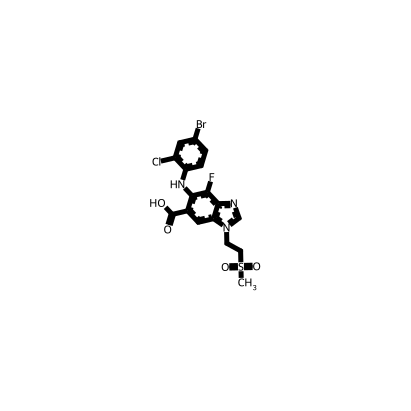 CS(=O)(=O)CCn1cnc2c(F)c(Nc3ccc(Br)cc3Cl)c(C(=O)O)cc21